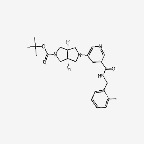 Cc1ccccc1CNC(=O)c1cncc(N2C[C@H]3CN(C(=O)OC(C)(C)C)C[C@H]3C2)c1